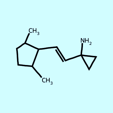 CC1CCC(C)C1C=CC1(N)CC1